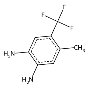 Cc1cc(N)c(N)cc1C(F)(F)F